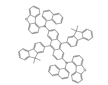 CC1(C)c2ccccc2-c2ccc(-c3c4ccc(N(c5cccc6ccccc56)c5cccc6oc7ccccc7c56)cc4c(-c4ccc5c(c4)C(C)(C)c4ccccc4-5)c4ccc(N(c5cccc6ccccc56)c5cccc6oc7ccccc7c56)cc34)cc21